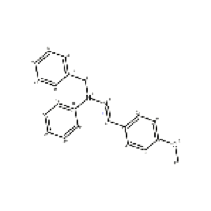 COc1ccc(/C=N/N(Cc2ccccc2)c2ccccc2)cc1